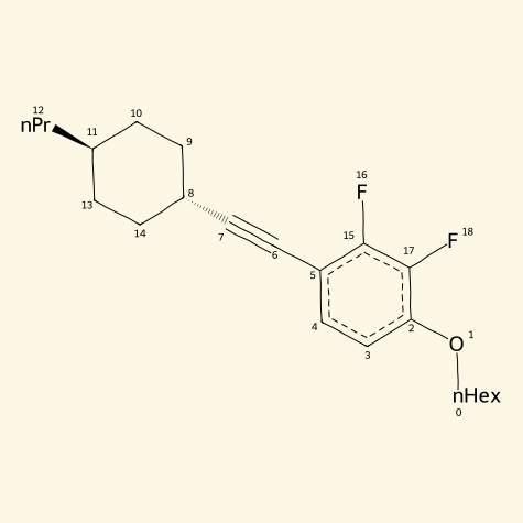 CCCCCCOc1ccc(C#C[C@H]2CC[C@H](CCC)CC2)c(F)c1F